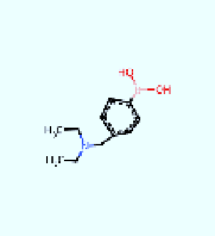 [CH2]CN(CC)Cc1ccc(B(O)O)cc1